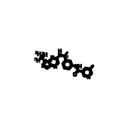 [2H]C([2H])([2H])n1ncc2ncc(N[C@@H](C)c3cccc(NC(=O)c4cncc(C)c4)c3)nc21